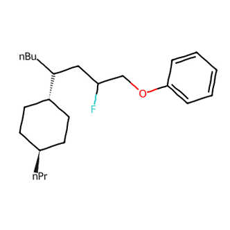 CCCCC(CC(F)COc1ccccc1)[C@H]1CC[C@H](CCC)CC1